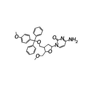 COCC1OC(n2ccc(N)nc2=O)CC1COC(c1ccccc1)(c1ccccc1)c1ccc(OC)cc1